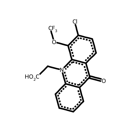 O=C(O)Cn1c2ccccc2c(=O)c2ccc(Cl)c(OC(F)(F)F)c21